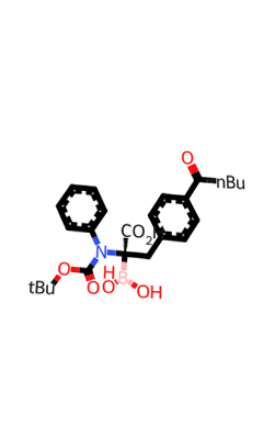 CCCCC(=O)c1ccc(C[C@@](B(O)O)(C(=O)O)N(C(=O)OC(C)(C)C)c2ccccc2)cc1